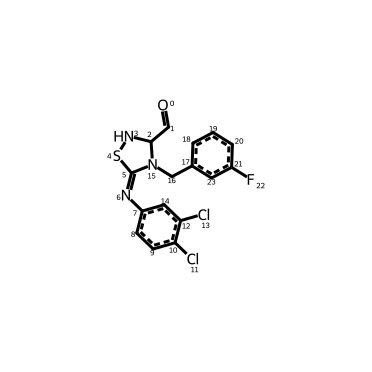 O=CC1NSC(=Nc2ccc(Cl)c(Cl)c2)N1Cc1cccc(F)c1